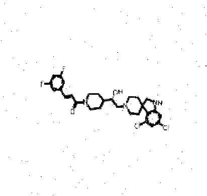 O=C(/C=C/c1cc(F)cc(F)c1)N1CCC([C@H](O)CN2CCC3(CC2)CNc2cc(Cl)cc(Cl)c23)CC1